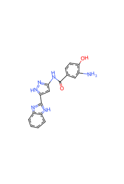 Nc1cc(C(=O)Nc2cc(-c3nc4ccccc4[nH]3)[nH]n2)ccc1O